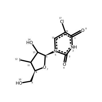 O=c1[nH]c(=O)n([C@H]2O[C@@H](CO)C(I)C2O)cc1Cl